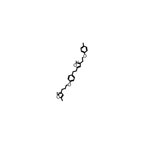 Cc1ccc(OCCc2cc(CCc3ccc(OCCCc4cc(C)on4)cc3)on2)cc1